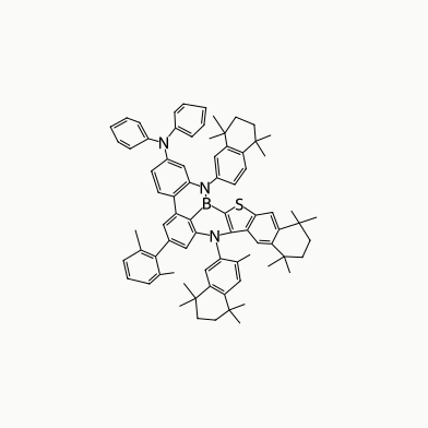 Cc1cc2c(cc1N1c3cc(-c4c(C)cccc4C)cc4c3B(c3sc5cc6c(cc5c31)C(C)(C)CCC6(C)C)N(c1ccc3c(c1)C(C)(C)CCC3(C)C)c1cc(N(c3ccccc3)c3ccccc3)ccc1-4)C(C)(C)CCC2(C)C